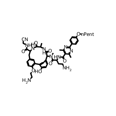 CCCCCOc1ccc(-c2nc(C)c(C(=O)NC(CCN)C(=O)N(C)C3C(=O)NC(C)C(=O)NC(C(=O)NCC#N)Cc4ccc(OCCN)c(c4)-c4cc3ccc4O)c(C)n2)cc1